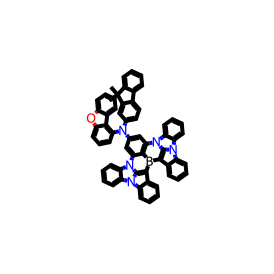 CC1(C)c2ccccc2-c2ccc(N(c3cc4c5c(c3)-n3c6ccccc6n6c7ccccc7c(c36)B5c3c5ccccc5n5c6ccccc6n-4c35)c3cccc4oc5ccccc5c34)cc21